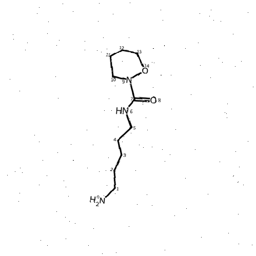 NCCCCCNC(=O)N1CCCCO1